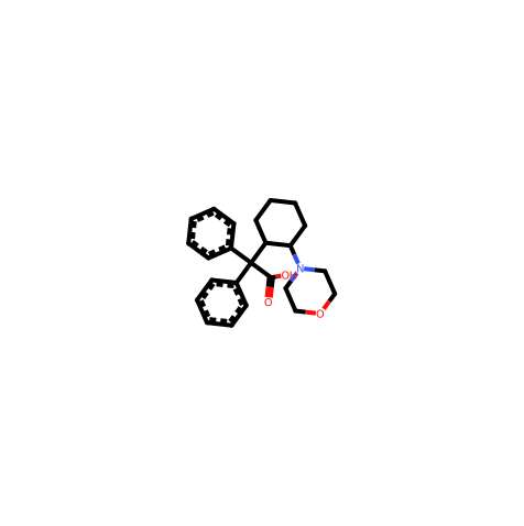 O=C(O)C(c1ccccc1)(c1ccccc1)C1CCCCC1N1CCOCC1